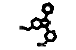 CC(C)CN1CCn2c(-c3ccccc3)nc(C3CN(C=O)CCO3)c2C1